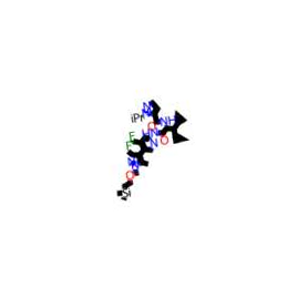 Cc1nn(COCC[Si](C)(C)C)c(C)c1-c1cnc(NC(=O)[C@@H](NC(=O)c2ccnn2C(C)C)C(C2CC2)C2CC2)cc1C(F)F